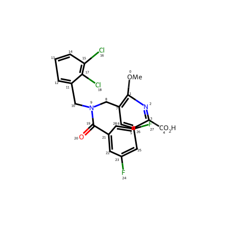 COc1nc(C(=O)O)ccc1CN(Cc1cccc(Cl)c1Cl)C(=O)c1cc(F)cc(F)c1